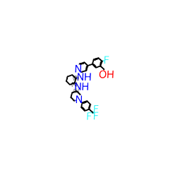 OCc1cc(-c2ccnc(N[C@@H]3CCCC[C@H]3N[C@H]3CCCN(c4ccc(C(F)(F)F)cc4)C3)c2)ccc1F